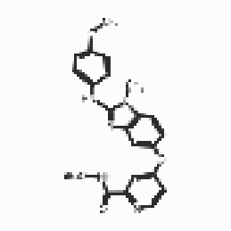 CC(C)CONC(=O)c1cc(Oc2ccc3c(c2)nc(Nc2ccc(SC(F)(F)F)cc2)n3C)ccn1